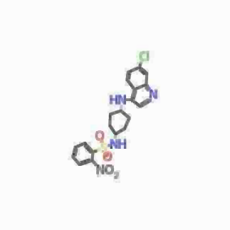 O=[N+]([O-])c1ccccc1S(=O)(=O)N[C@H]1CC[C@@H](Nc2ccnc3cc(Cl)ccc23)CC1